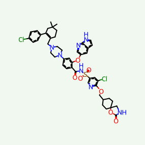 CC1(C)CCC(CN2CCN(c3ccc(C(=O)NS(=O)(=O)c4cnc(OCC5CCC6(CC5)CNC(=O)O6)c(Cl)c4)c(Oc4cnc5[nH]ccc5c4)c3)CC2)=C(c2ccc(Cl)cc2)C1